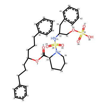 O=C(OC(CCCc1ccccc1)CCCc1ccccc1)[C@@H]1CCCCN1S(=O)(=O)NC(COS(=O)(=O)O)Cc1ccccc1